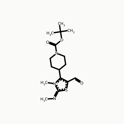 CN=c1sc(C=O)c(C2CCN(C(=O)OC(C)(C)C)CC2)n1C